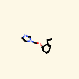 C=Cc1ccccc1OCn1ccnc1